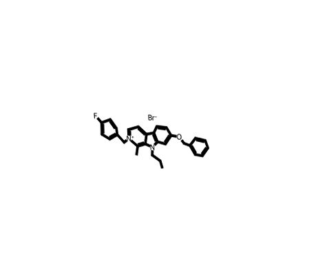 CCCn1c2cc(OCc3ccccc3)ccc2c2cc[n+](Cc3ccc(F)cc3)c(C)c21.[Br-]